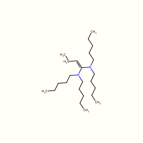 CCCCCN(CCCCC)C(=C[SiH2]C)N(CCCCC)CCCCC